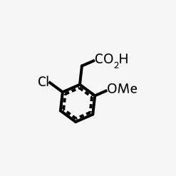 COc1cccc(Cl)c1CC(=O)O